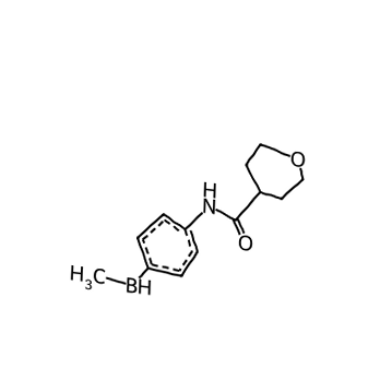 CBc1ccc(NC(=O)C2CCOCC2)cc1